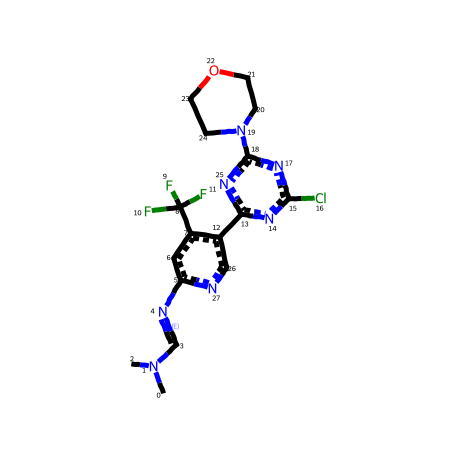 CN(C)/C=N/c1cc(C(F)(F)F)c(-c2nc(Cl)nc(N3CCOCC3)n2)cn1